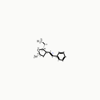 [3H][C@H]1CC(/C=C/c2ccccc2)[C@@H](CC)O1